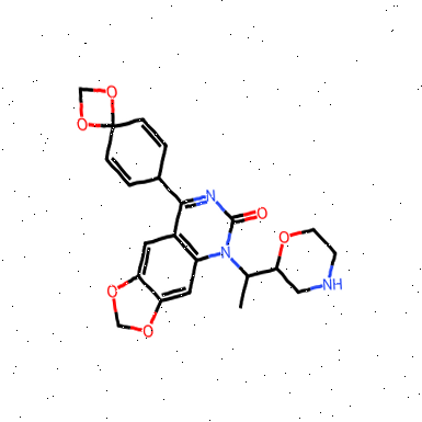 CC(C1CNCCO1)n1c(=O)nc(C2C=CC3(C=C2)OCO3)c2cc3c(cc21)OCO3